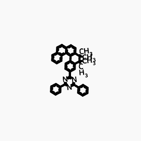 CC1(C)c2cc(-c3nc(-c4ccccc4)nc(-c4ccccc4)n3)ccc2-c2c(ccc3ccc4ccccc4c23)C1(C)C